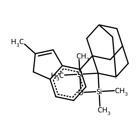 CC1=Cc2c(cccc2C23CC4C[C](CC(C4)C2)C32[Si](C)(C)O[Si]2(C)C)C1